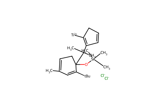 CC1=CCC(O[Si](C)(C)C)(C(C)(C)C2=[C]([Ti+2])CC=C2)C(C(C)(C)C)=C1.[Cl-].[Cl-]